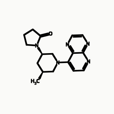 C[C@H]1C[C@@H](N2CCCC2=O)CN(c2ccnc3nccnc23)C1